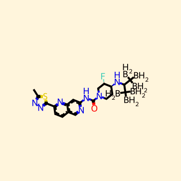 BC(B)(B)C(N[C@H]1CCN(C(=O)Nc2cc3nc(-c4nnc(C)s4)ccc3cn2)C[C@@H]1F)C(B)(B)B